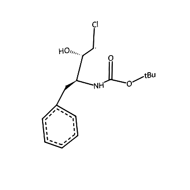 CC(C)(C)OC(=O)N[C@@H]([CH]c1ccccc1)[C@H](O)[CH]Cl